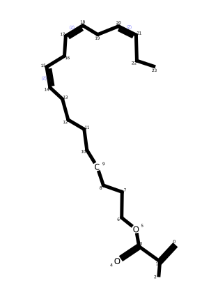 C=C(C)C(=O)OCCCCCCCC/C=C\C/C=C\C/C=C\CC